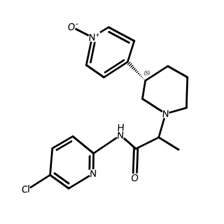 CC(C(=O)Nc1ccc(Cl)cn1)N1CCC[C@@H](c2cc[n+]([O-])cc2)C1